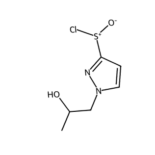 CC(O)Cn1ccc([S+]([O-])Cl)n1